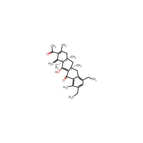 C=C1C(C(C)=O)=C(C)C[C@@]2(C)C[C@@]3(C)Cc4c(CC)cc(CC)c(C)c4C(=O)C3=C(O)[C@@]12C